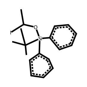 CC(I)O[Si](c1ccccc1)(c1ccccc1)C(C)(C)C